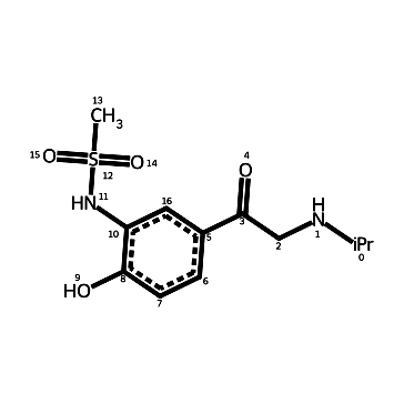 CC(C)NCC(=O)c1ccc(O)c(NS(C)(=O)=O)c1